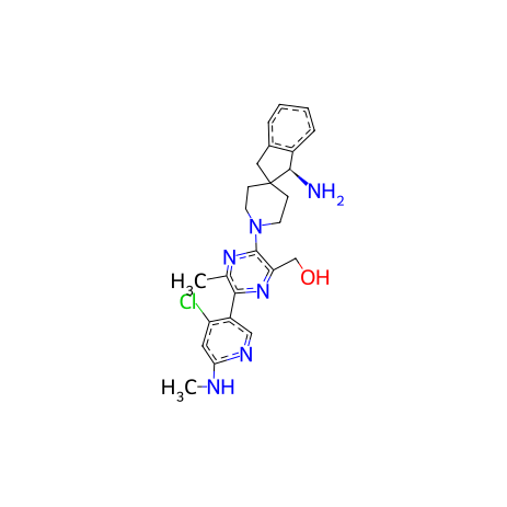 CNc1cc(Cl)c(-c2nc(CO)c(N3CCC4(CC3)Cc3ccccc3[C@H]4N)nc2C)cn1